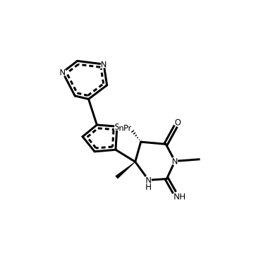 CCC[C@@H]1C(=O)N(C)C(=N)N[C@]1(C)c1ccc(-c2cncnc2)s1